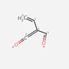 C=CC([C]=O)=C=O